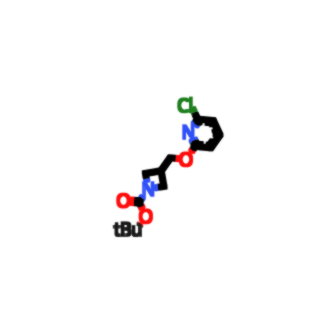 CC(C)(C)OC(=O)N1CC(COc2cccc(Cl)n2)C1